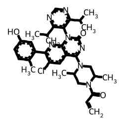 C=CC(=O)N1CC(C)N(c2nc(=O)n(-c3c(C(C)C)ncnc3C(C)C)c3nc(-c4cc(O)ccc4C)c(Cl)cc23)CC1C